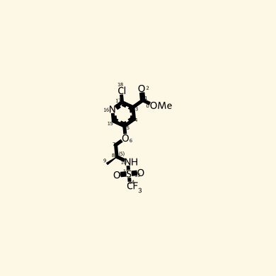 COC(=O)c1cc(OC[C@H](C)NS(=O)(=O)C(F)(F)F)cnc1Cl